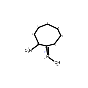 O=[N+]([O-])C1CCCCCC/C1=N\O